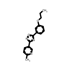 CCCOc1cccc(-c2nc(-c3ccc(C)nc3)no2)c1